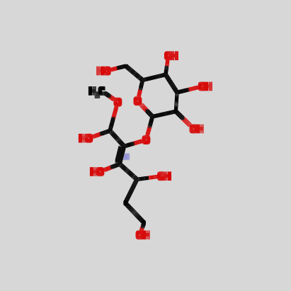 COC(O)/C(OC1OC(CO)C(O)C(O)C1O)=C(\O)C(O)CCO